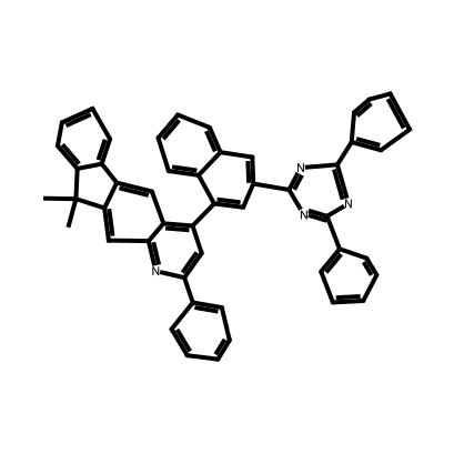 CC1(C)c2ccccc2-c2cc3c(-c4cc(-c5nc(-c6ccccc6)nc(-c6ccccc6)n5)cc5ccccc45)cc(-c4ccccc4)nc3cc21